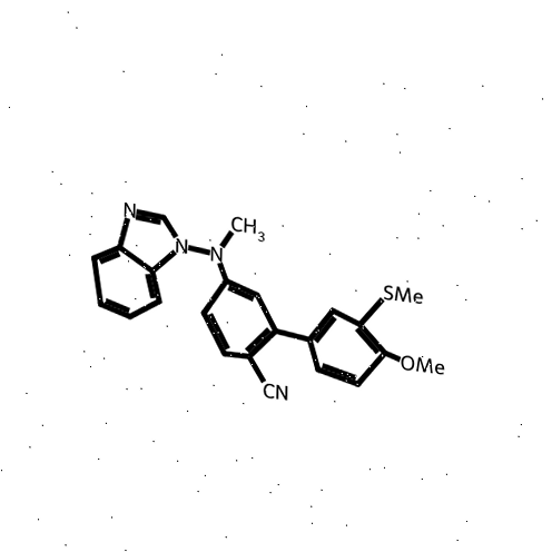 COc1ccc(-c2cc(N(C)n3cnc4ccccc43)ccc2C#N)cc1SC